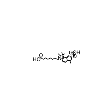 CC1=[N+](CCCCCCCC(=O)O)c2ccc3c(C)cc(S(=O)(=O)O)cc3c2C1(C)C